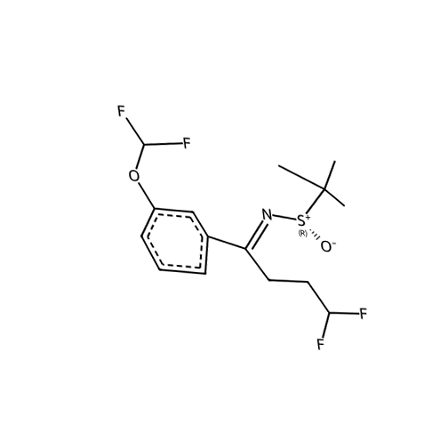 CC(C)(C)[S@+]([O-])N=C(CCC(F)F)c1cccc(OC(F)F)c1